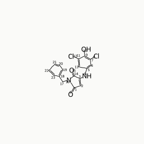 O=C1C=C(Nc2cc(Cl)c(O)c(Cl)c2)C(=O)N1Cc1ccccc1